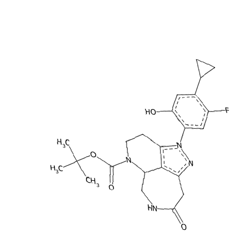 CC(C)(C)OC(=O)N1CCc2c3c(nn2-c2cc(F)c(C4CC4)cc2O)CC(=O)NCC31